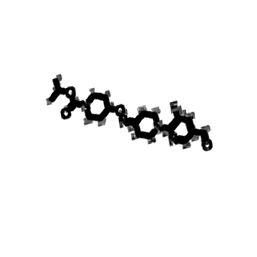 CC(C)OC(=O)N1CCC(ON=C2CCN(c3ncc(C=O)cc3F)CC2)CC1